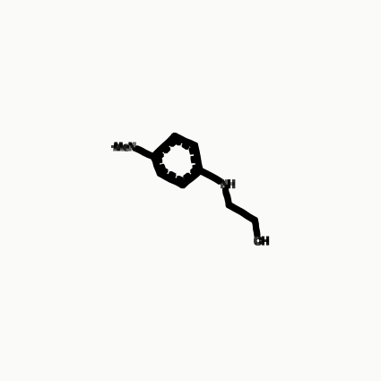 C[N]c1ccc(NCCO)cc1